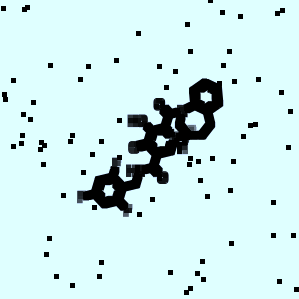 O=C(NCc1c(F)cc(F)cc1F)c1cn2c(c(O)c1=O)C(=O)N1C[C@H]2CCc2ccccc21